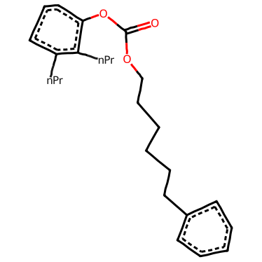 CCCc1cccc(OC(=O)OCCCCCCc2ccccc2)c1CCC